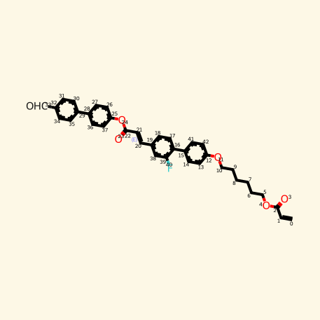 C=CC(=O)OCCCCCCOc1ccc(-c2ccc(/C=C/C(=O)Oc3ccc(-c4ccc(C=O)cc4)cc3)cc2F)cc1